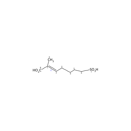 C/C(=C\CCCCS(=O)(=O)O)C(=O)O